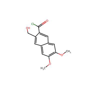 COc1cc2cc(CO)c(C(=O)Cl)cc2cc1OC